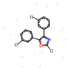 Clc1cccc(-c2nc(Cl)oc2-c2cccc(Cl)c2)c1